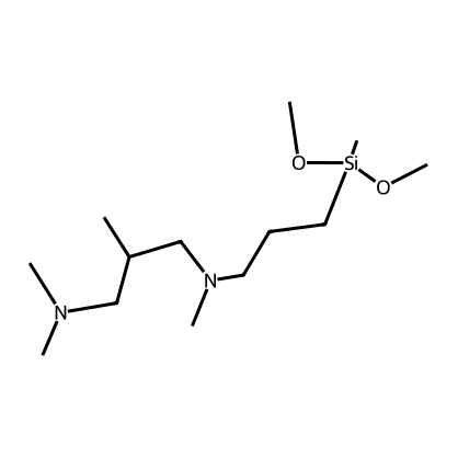 CO[Si](C)(CCCN(C)CC(C)CN(C)C)OC